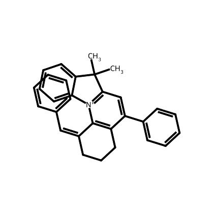 CC1(C)c2ccccc2-[n+]2c1cc(-c1ccccc1)c1c2/C(=C\c2ccccc2)CCC1